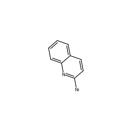 [Ni][c]1ccc2ccccc2n1